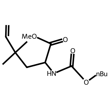 C=CC(C)(C)CC(NC(=O)OCCCC)C(=O)OC